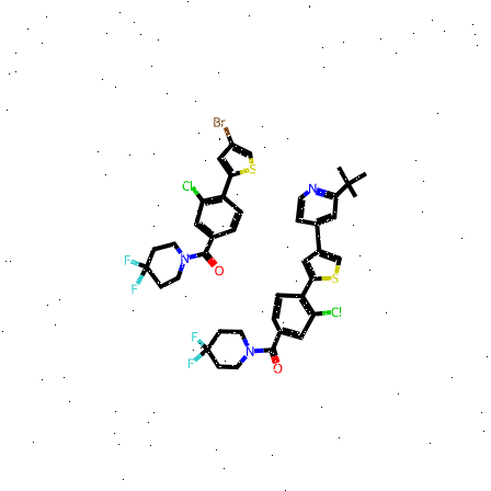 CC(C)(C)c1cc(-c2csc(-c3ccc(C(=O)N4CCC(F)(F)CC4)cc3Cl)c2)ccn1.O=C(c1ccc(-c2cc(Br)cs2)c(Cl)c1)N1CCC(F)(F)CC1